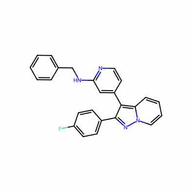 Fc1ccc(-c2nn3ccccc3c2-c2ccnc(NCc3ccccc3)c2)cc1